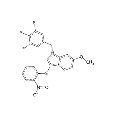 COc1ccc2c(Sc3ccccc3[N+](=O)[O-])cn(Cc3cc(F)c(F)c(F)c3)c2c1